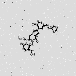 COC[C@H]1Cn2cc(-c3cc(N=Cc4cocn4)ncc3Cl)cc2C(=O)N1Cc1cc(F)ccc1CO